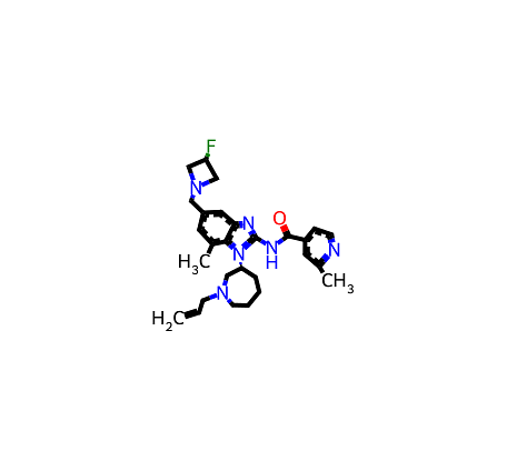 C=CCN1CCCC[C@@H](n2c(NC(=O)c3ccnc(C)c3)nc3cc(CN4CC(F)C4)cc(C)c32)C1